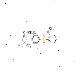 Nc1cc(S(=O)(=O)c2ccccc2OC(F)(F)F)cnc1C1N(C=O)CC1(O)C(F)(F)F